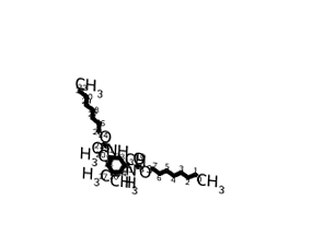 CCCCCCCCOC(=O)NC1(C)CC(C)(C)CC(C)(NC(=O)OCCCCCCCC)C1